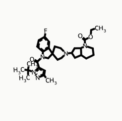 CCOC(=O)N1CCCC2CC(N3CCC4(CC3)CN(C(=O)c3cc(C)nn3C(C)(C)C)c3ccc(F)cc34)CC21